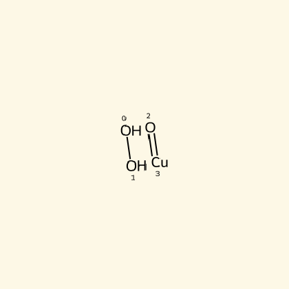 OO.[O]=[Cu]